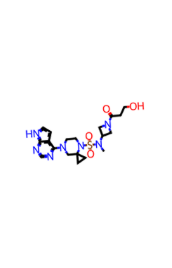 CN(C1CN(C(=O)CCO)C1)S(=O)(=O)N1CCN(c2ncnc3[nH]ccc23)CC12CC2